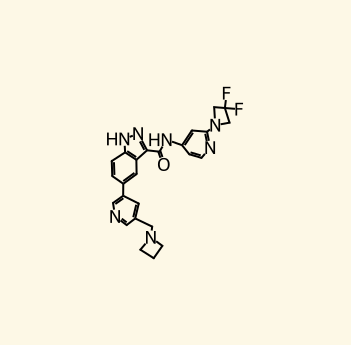 O=C(Nc1ccnc(N2CC(F)(F)C2)c1)c1n[nH]c2ccc(-c3cncc(CN4CCC4)c3)cc12